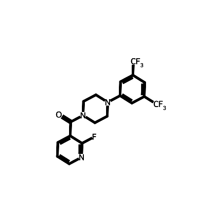 O=C(c1cccnc1F)N1CCN(c2cc(C(F)(F)F)cc(C(F)(F)F)c2)CC1